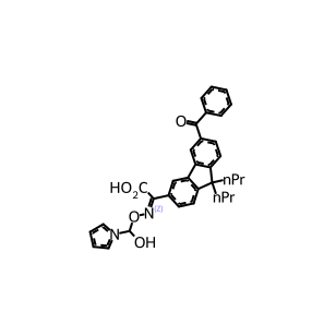 CCCC1(CCC)c2ccc(C(=O)c3ccccc3)cc2-c2cc(/C(=N/OC(O)n3cccc3)C(=O)O)ccc21